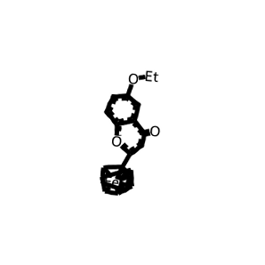 CCOc1ccc2oc([C]34[CH]5[CH]6[CH]7[CH]3[Fe]6754389%10[CH]4[CH]3[CH]8[CH]9[CH]4%10)cc(=O)c2c1